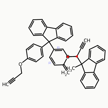 C#CCOC(=C)/C=C\C(=C/CCC1(C)c2ccccc2-c2ccccc21)C1(c2ccc(OCC#C)cc2)c2ccccc2-c2ccccc21